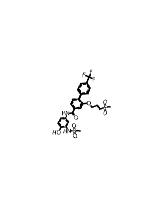 CS(=O)(=O)CCCOc1cc(C(=O)Nc2ccc(O)c(NS(C)(=O)=O)c2)ccc1-c1ccc(C(F)(F)F)cc1